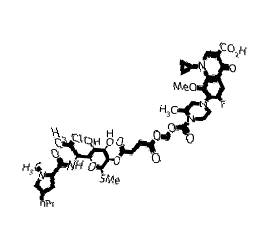 CCCC1CC(C(=O)N[C@H](C(C)Cl)[C@H]2O[C@H](SC)[C@H](OC(=O)CCC(=O)OCOC(=O)N3CCN(c4c(F)cc5c(=O)c(C(=O)O)cn(C6CC6)c5c4OC)CC3C)[C@@H](O)[C@H]2O)N(C)C1